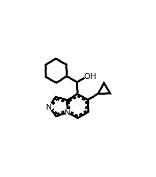 OC(c1c(C2CC2)ccn2cncc12)C1CCCCC1